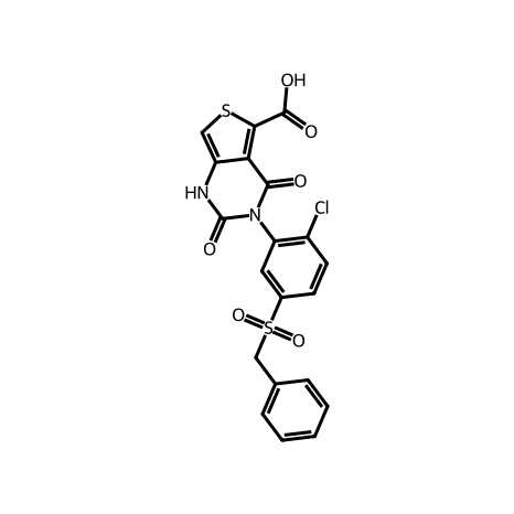 O=C(O)c1scc2[nH]c(=O)n(-c3cc(S(=O)(=O)Cc4ccccc4)ccc3Cl)c(=O)c12